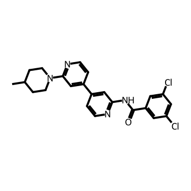 CC1CCN(c2cc(-c3ccnc(NC(=O)c4cc(Cl)cc(Cl)c4)c3)ccn2)CC1